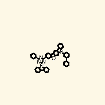 c1ccc(-c2cccc(-n3c4ccccc4c4cc5c(cc43)oc3cc(-c4nc(-c6ccccc6)nc(-n6c7ccccc7c7ccccc76)n4)ccc35)c2)cc1